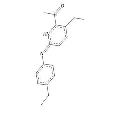 CCc1ccc(N=c2ccc(CC)c(C(C)=O)[nH]2)cc1